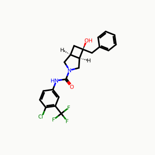 O=C(Nc1ccc(Cl)c(C(F)(F)F)c1)N1C[C@H]2C[C@](O)(Cc3ccccc3)[C@H]2C1